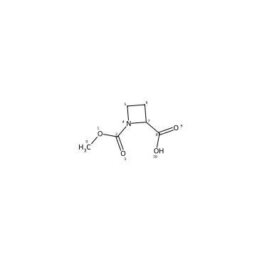 COC(=O)N1CCC1C(=O)O